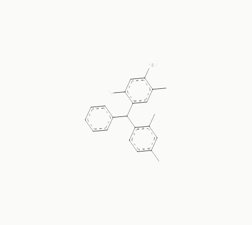 Cc1ccc(C(c2ccccc2)c2cc(C)c(N)cc2N)c(C)c1